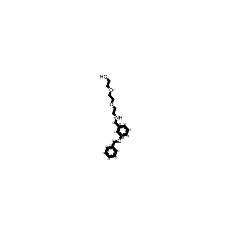 OCCOCCOCCNCc1cccc(OCc2ccccc2)c1